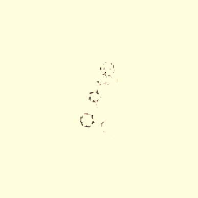 NC(=O)c1ccccc1Sc1ccc(C(=O)N[C@H]2CN3CCC2CC3)s1